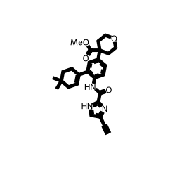 C#Cc1c[nH]c(C(=O)Nc2ccc(C3(C(=O)OC)CCOCC3)cc2C2=CCC(C)(C)CC2)n1